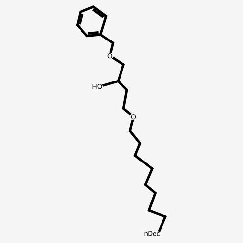 CCCCCCCCCCCCCCCCCCOCCC(O)COCc1ccccc1